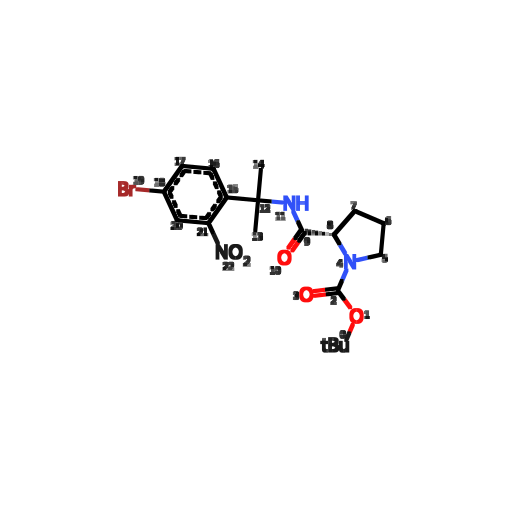 CC(C)(C)OC(=O)N1CCC[C@H]1C(=O)NC(C)(C)c1ccc(Br)cc1[N+](=O)[O-]